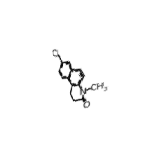 CN1C(=O)CCc2c1ccc1cc(Cl)ccc21